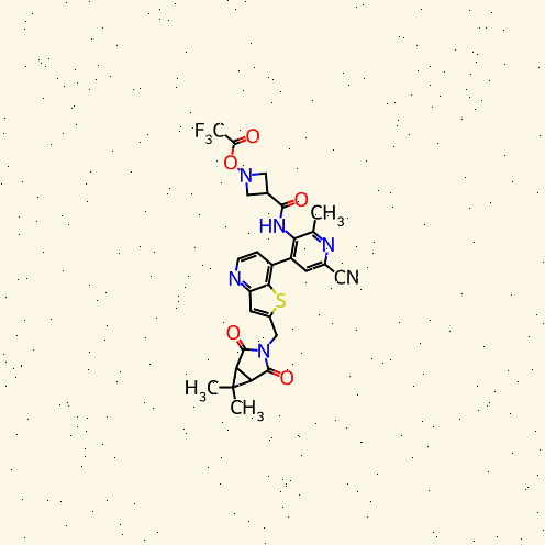 Cc1nc(C#N)cc(-c2ccnc3cc(CN4C(=O)C5C(C4=O)C5(C)C)sc23)c1NC(=O)C1CN(OC(=O)C(F)(F)F)C1